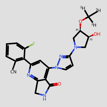 [2H]C([2H])([2H])O[C@@H]1CN(c2ccn(-c3cc(-c4c(F)cccc4C#N)nc4c3C(=O)NC4)n2)C[C@@H]1O